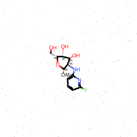 CO[C@@H]1O[C@H](CO)[C@H](O)[C@H](O)[C@H]1Nc1cccc(F)n1